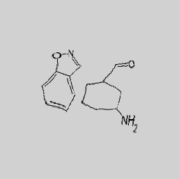 NC1CCCC(C=O)C1.c1ccc2oncc2c1